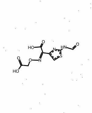 O=CNc1nc(C(=NOCC(=O)O)C(=O)O)cs1